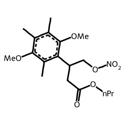 CCCOC(=O)CC(CO[N+](=O)[O-])c1c(C)c(OC)c(C)c(C)c1OC